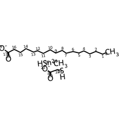 CCCCCCCCCCCCCCCCCC(=O)[O-].O=C([O-])CS.[CH3][SnH+2]